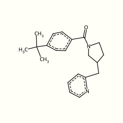 CC(C)(C)c1ccc(C(=O)N2CCC(Cc3ccccn3)C2)cc1